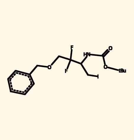 CC(C)(C)OC(=O)NC(CI)C(F)(F)COCc1ccccc1